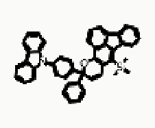 C[Si](C)(C)c1c2c(c3cccc4c3c1-c1ccccc1-4)OC(c1ccccc1)(c1ccc(-n3c4ccccc4c4ccccc43)cc1)C=C2